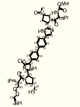 COC(=O)N[C@H](C(=O)N1C[C@@H]([S+](C)[O-])C[C@H]1c1ncc(-c2ccc(-c3ccc(-c4[nH]c(C5C[C@H](CS)CN5C(=O)[C@@H](COOC=N)C(C)C)nc4Cl)cc3)cc2)[nH]1)C(C)C